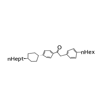 CCCCCCC[C@H]1CC[C@H](c2ccc(C(=O)Cc3ccc(CCCCCC)cc3)cc2)CC1